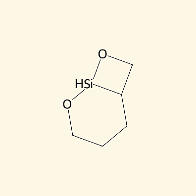 C1CO[SiH]2OCC2C1